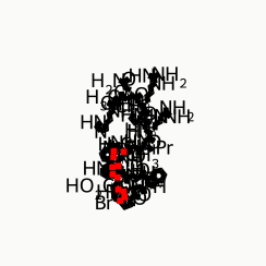 CC(C)C[C@H](NC(=O)[C@@H](CCCNC(=N)N)NC(=O)[C@@H]1CCCN1C(=O)[C@H](CCCCNC(=N)N)NC(=O)[C@@H](CCC(N)=O)NC(=O)C(C)(C)C(=O)NCCc1cnc[nH]1)C(=O)NC(C)(C)C(=O)N[C@@H](Cc1c[nH]cn1)C(=O)N[C@@H](CC1CCNCC1)C(=O)NCC(=O)N1[C@H](C(=O)N[C@@H](Cc2ccc(Br)cc2)C(=O)N2CCC[C@H]2C(=O)N[C@H](Cc2ccc(-c3ccccc3)cc2)C(=O)O)C[C@@H]2CCCC[C@@H]21